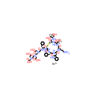 C[C@@H](O)[C@@H]1NC(=O)[C@H](CCCCN)NC(=O)[C@@H](Cc2c[nH]c3ccccc23)NC(=O)[C@H](Cc2ccccc2)NC(=O)[C@@H](NC(=O)[C@@H](Cc2ccccc2)NC(=O)CN(CCN(CCN(CC(=O)O)CC(=O)O)CC(=O)O)CC(=O)O)CSSC[C@@H](C(=O)N[C@H](CO)[C@@H](C)O)NC1=O.[In+3]